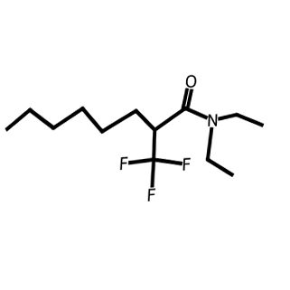 CCCCCCC(C(=O)N(CC)CC)C(F)(F)F